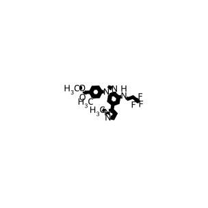 COC(=O)c1ccc(-n2cnc3c(NCCC(F)(F)F)cc(-c4ccnn4C)cc32)cc1C